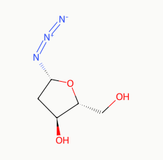 [N-]=[N+]=N[C@H]1C[C@H](O)[C@@H](CO)O1